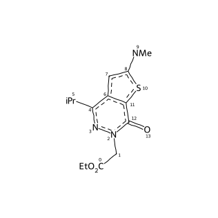 CCOC(=O)Cn1nc(C(C)C)c2cc(NC)sc2c1=O